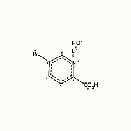 O=C(O)c1ccc(Br)cn1.[Li+].[OH-]